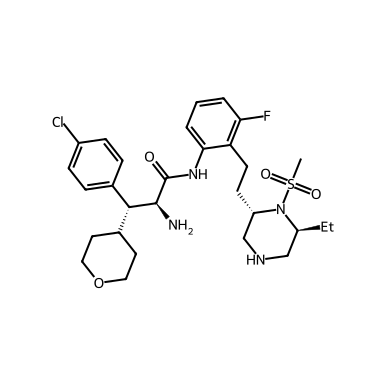 CC[C@H]1CNC[C@H](CCc2c(F)cccc2NC(=O)[C@@H](N)[C@@H](c2ccc(Cl)cc2)C2CCOCC2)N1S(C)(=O)=O